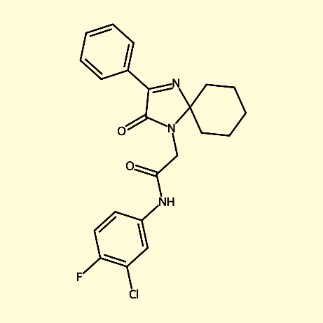 O=C(CN1C(=O)C(c2ccccc2)=NC12CCCCC2)Nc1ccc(F)c(Cl)c1